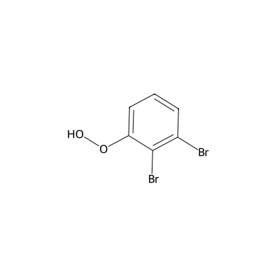 OOc1cccc(Br)c1Br